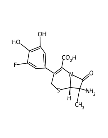 CC1(N)C(=O)N2C(C(=O)O)=C(c3cc(O)c(O)c(F)c3)CS[C@H]21